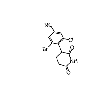 N#Cc1cc(Cl)c(C2CCC(=O)NC2=O)c(Br)c1